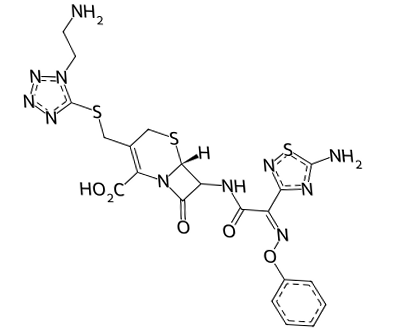 NCCn1nnnc1SCC1=C(C(=O)O)N2C(=O)C(NC(=O)/C(=N\Oc3ccccc3)c3nsc(N)n3)[C@H]2SC1